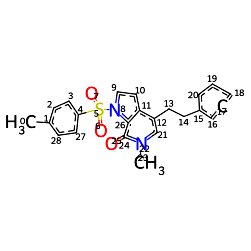 Cc1ccc(S(=O)(=O)n2ccc3c(CCc4ccccc4)cn(C)c(=O)c32)cc1